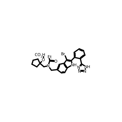 CCC(=O)N(Cc1ccc2[nH]c(-c3ccccc3-c3nnn[nH]3)c(Br)c2c1)CC1(OC(=O)O)CCCC1